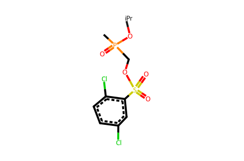 CC(C)OP(C)(=O)COS(=O)(=O)c1cc(Cl)ccc1Cl